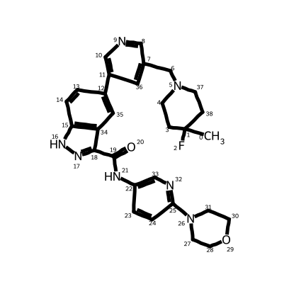 CC1(F)CCN(Cc2cncc(-c3ccc4[nH]nc(C(=O)Nc5ccc(N6CCOCC6)nc5)c4c3)c2)CC1